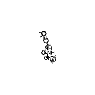 Cc1cccc(N2CCC(C(F)CNC3=C(C(=N)C(=O)N4C[C@@H](C)O[C@@H](C)C4)CCC3)CC2)c1C